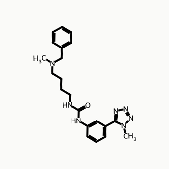 CN(CCCCNC(=O)Nc1cccc(-c2nnnn2C)c1)Cc1ccccc1